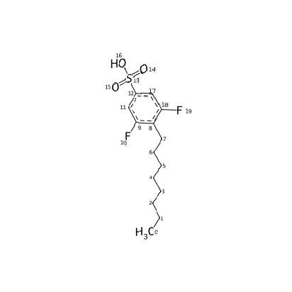 CCCCCCCCc1c(F)cc(S(=O)(=O)O)cc1F